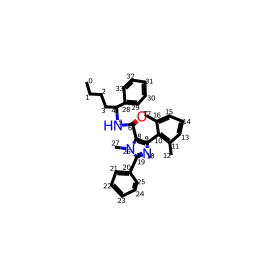 CCCCC(NC(=O)c1c(-c2c(C)cccc2C)nc(-c2ccccc2)n1C)c1ccccc1